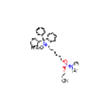 CON(CCCCCCOP(OCCC#N)N(C(C)C)C(C)C)C(c1ccccc1)(c1ccccc1)c1ccccc1